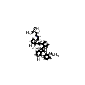 COc1c(F)cccc1Nc1c(-c2ccncc2C#C[C@]2(C)CCCN2C(=O)/C=C/CN(C)C)[nH]c2cc[nH]c(=O)c12